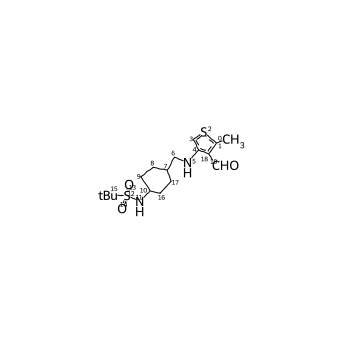 Cc1scc(NCC2CCC(NS(=O)(=O)C(C)(C)C)CC2)c1C=O